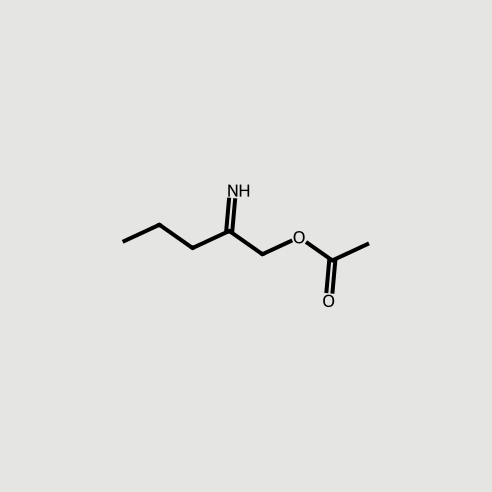 CCCC(=N)COC(C)=O